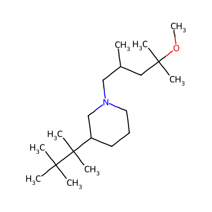 COC(C)(C)CC(C)CN1CCCC(C(C)(C)C(C)(C)C)C1